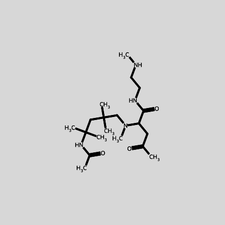 CNCCNC(=O)C(CC(C)=O)N(C)CC(C)(C)CC(C)(C)NC(C)=O